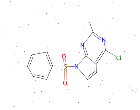 Cc1nc(Cl)c2ccn(S(=O)(=O)c3ccccc3)c2n1